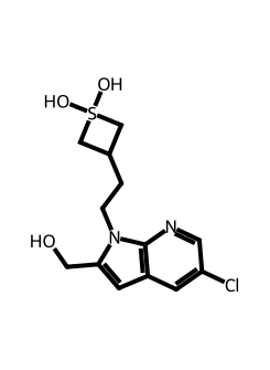 OCc1cc2cc(Cl)cnc2n1CCC1CS(O)(O)C1